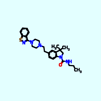 CCCNC(=O)N1CC(C)(C)c2cc(CCN3CCN(c4nsc5ccccc45)CC3)ccc21